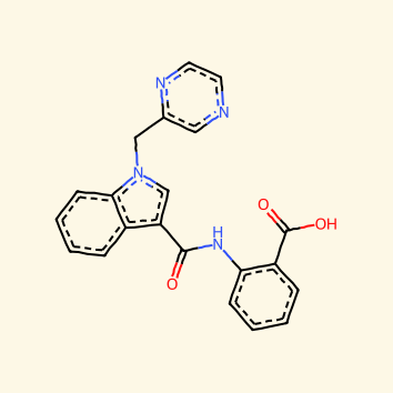 O=C(O)c1ccccc1NC(=O)c1cn(Cc2cnccn2)c2ccccc12